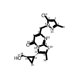 Cc1cc(Cl)n(Cc2cc(=O)n3c([C@@H]4C[C@H]4CO)c(C)sc3n2)n1